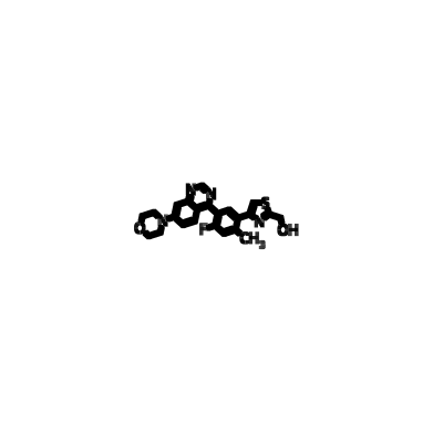 Cc1cc(F)c(-c2ncnc3cc(N4CCOCC4)ccc23)cc1-c1csc(CO)n1